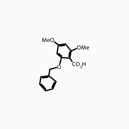 COc1cc(OC)c(C(=O)O)c(OCc2ccccc2)c1